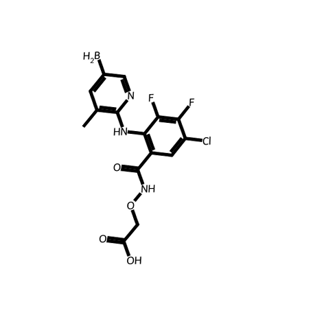 Bc1cnc(Nc2c(C(=O)NOCC(=O)O)cc(Cl)c(F)c2F)c(C)c1